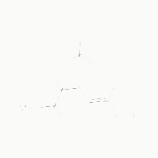 C=C(CC=C(C)C(=O)O)C(=O)OC.C=C(CCCC)C(=O)O